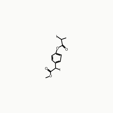 COC(=O)C(I)c1ccc(OC(=O)C(C)I)cc1